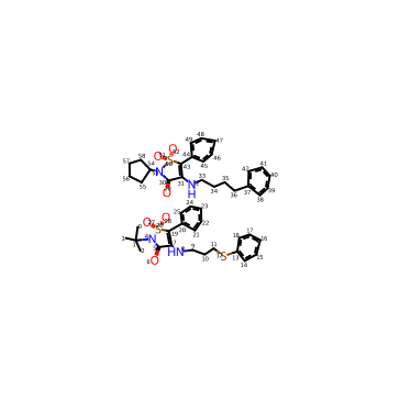 CC(C)(C)N1C(=O)C(NCCCSc2ccccc2)=C(c2ccccc2)S1(=O)=O.O=C1C(NCCCCc2ccccc2)=C(c2ccccc2)S(=O)(=O)N1C1CCCC1